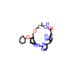 CC1CCOCc2cc(ccc2OC2CCCCC2)Nc2nccc(n2)-c2ccc(cc2N)C(=O)NC1